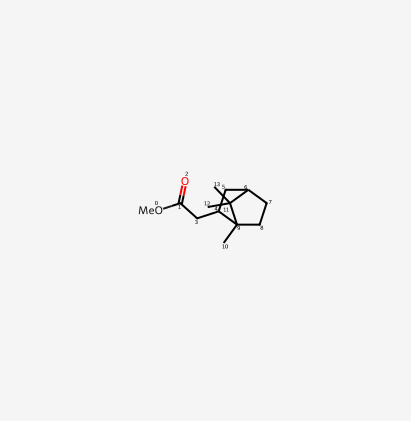 COC(=O)CC1CC2CCC1(C)C2(C)C